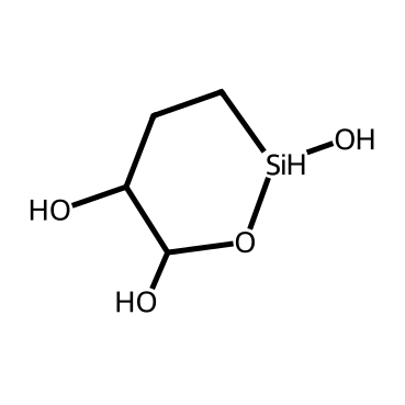 OC1CC[SiH](O)OC1O